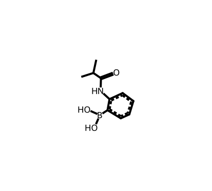 CC(C)C(=O)Nc1ccccc1B(O)O